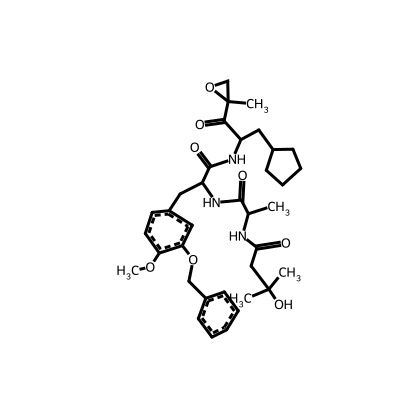 COc1ccc(CC(NC(=O)C(C)NC(=O)CC(C)(C)O)C(=O)NC(CC2CCCC2)C(=O)C2(C)CO2)cc1OCc1ccccc1